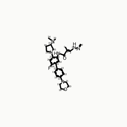 C=NN/C=C(\C)C(=O)Nc1cc(-c2ccc(N3CCOCC3)cc2)c(F)cc1N1CC[C@@H](N(C)C)C1